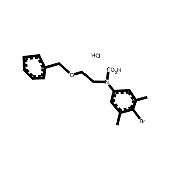 Cc1cc(N(CCOCc2ccccc2)C(=O)O)cc(C)c1Br.Cl